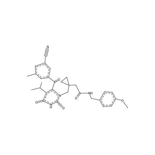 COc1ccc(CNC(=O)CC2(Cn3c(C(=O)c4cc(C)cc(C#N)c4)c(C(C)C)c(=O)[nH]c3=O)CC2)cc1